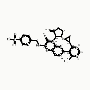 CCS(=O)(=O)c1ccc(CNc2nc3cnc(-c4c(C)ncnc4C4CC4)nc3n(C3CCCC3=O)c2=O)nc1